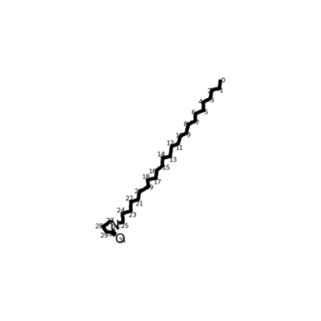 CCCCCCCCCCCCCCCCCCCCCCCCCCN1CCCC1=O